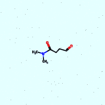 CN(C)C(=O)CCC=O